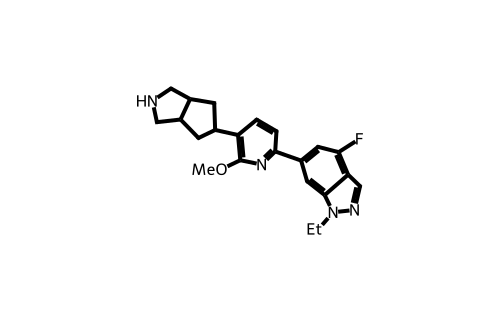 CCn1ncc2c(F)cc(-c3ccc(C4CC5CNCC5C4)c(OC)n3)cc21